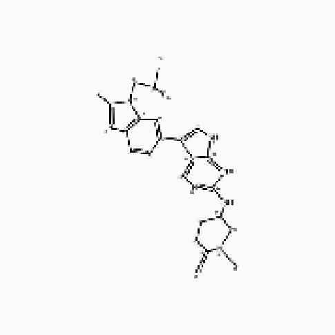 Cc1nc2ccc(-c3c[nH]c4nc(NC5CCC(=O)N(C)C5)ncc34)cc2n1CC(F)F